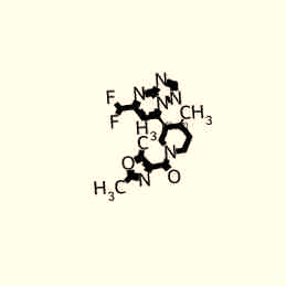 Cc1nc(C(=O)N2CC[C@@H](C)[C@H](c3cc(C(F)F)nc4ncnn34)C2)c(C)o1